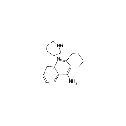 C1CCNCC1.Nc1c2c(nc3ccccc13)CCCC2